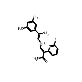 NC(=O)/C(=C/N/N=C(\N)c1cc(C(F)(F)F)cc(C(F)(F)F)c1)c1cccc(F)n1